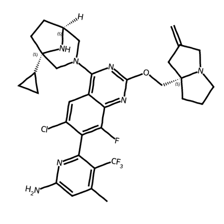 C=C1CN2CCC[C@@]2(COc2nc(N3C[C@@H]4CC[C@](C5CC5)(C3)N4)c3cc(Cl)c(-c4nc(N)cc(C)c4C(F)(F)F)c(F)c3n2)C1